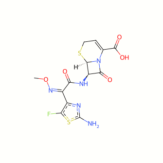 CO/N=C(\C(=O)N[C@@H]1C(=O)N2C(C(=O)O)=CCS[C@H]12)c1nc(N)sc1F